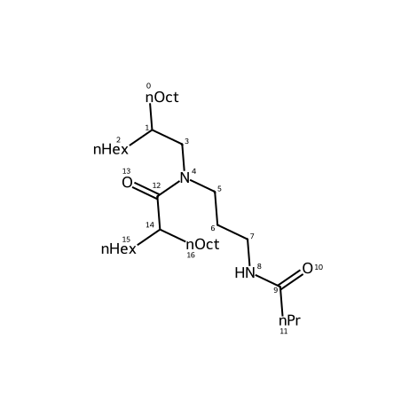 CCCCCCCCC(CCCCCC)CN(CCCNC(=O)CCC)C(=O)C(CCCCCC)CCCCCCCC